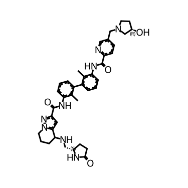 Cc1c(NC(=O)c2ccc(CN3CC[C@@H](O)C3)cn2)cccc1-c1cccc(NC(=O)c2cc3n(n2)CCCC3NC[C@@H]2CCC(=O)N2)c1C